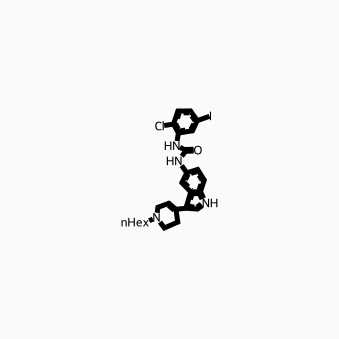 CCCCCCN1CC=C(c2c[nH]c3ccc(NC(=O)Nc4cc(I)ccc4Cl)cc23)CC1